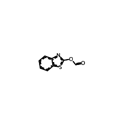 O=COc1nc2ccccc2s1